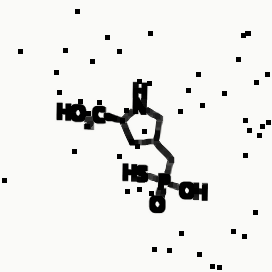 O=C(O)[C@@H]1CC(CP(=O)(O)S)CN1